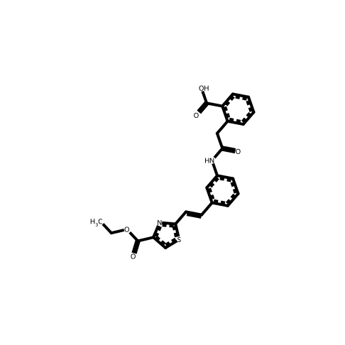 CCOC(=O)c1csc(C=Cc2cccc(NC(=O)Cc3ccccc3C(=O)O)c2)n1